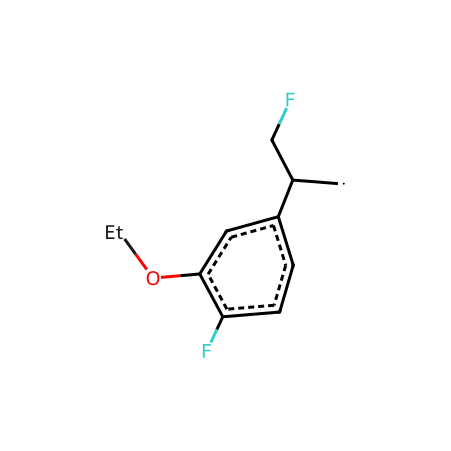 [CH2]C(CF)c1ccc(F)c(OCC)c1